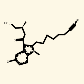 CC(C)C#CCCCCCCc1c(C(=O)C[C@H](C)CC(=O)O)c2cc(Cl)ccc2n1C